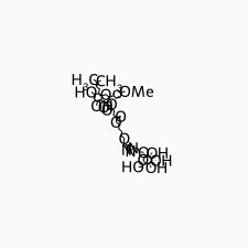 COc1ccc(-c2oc3c(CC=C(C)C)c(O)cc(O)c3c(=O)c2OC(=O)CCC(=O)OCCCCOCc2cn(CCO[C@H]3O[C@@H](CO)[C@H](O)[C@@H](O)[C@@H]3O)nn2)cc1